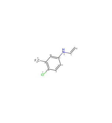 C=CNc1ccc(Cl)c(C(F)(F)F)c1